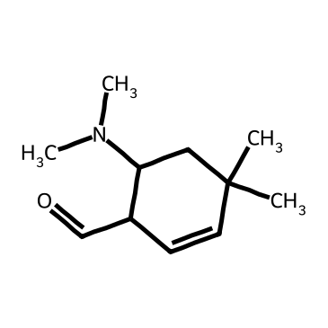 CN(C)C1CC(C)(C)C=CC1C=O